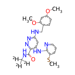 [2H]C([2H])([2H])NC(=O)c1nnc(NCc2ccc(OC)cc2OC)cc1Nc1ncccc1SC